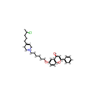 CC(Cl)CCCC1=CCN(CCCCCCOc2ccc3oc(-c4ccccc4)cc(=O)c3c2)CC1